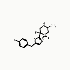 C[C@H]1CS(=O)(=O)C(F)(c2ncc(Cc3ccc(F)cc3)s2)CN1